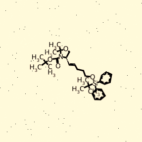 CC(C)(C)OC(=O)N1[C@H](C=CCCCO[Si](c2ccccc2)(c2ccccc2)C(C)(C)C)COC1(C)C